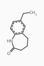 CCc1ccc2c(c1)CCCC(=O)N2